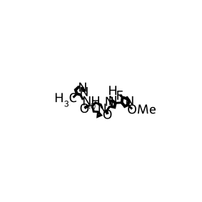 COc1cc(-c2cc(C(=O)N3CC[C@H](C(=O)NCc4nnccc4C)CC34CC4)n[nH]2)c(F)cn1